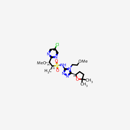 COCCn1c(NS(=O)(=O)[C@@H](C)[C@H](OC)c2ncc(Cl)cn2)nnc1[C@H]1CCC(C)(C)O1